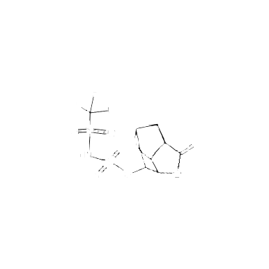 O=C1OC2C(OS(=O)(=O)NS(=O)(=O)C(F)(F)F)C3CC1C2O3